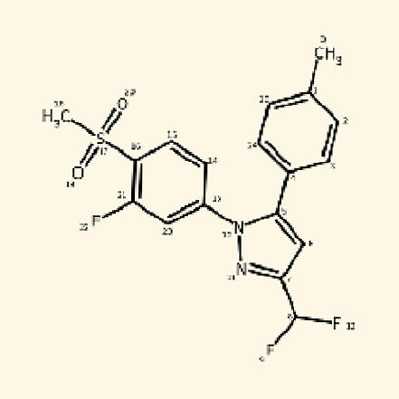 Cc1ccc(-c2cc(C(F)F)nn2-c2ccc(S(C)(=O)=O)c(F)c2)cc1